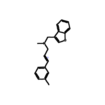 Cc1cccc(/C=C/CN(C)Cc2coc3ccccc23)c1